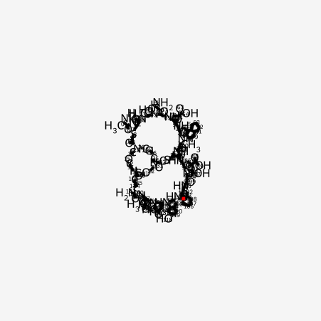 C[C@H](N)C(=O)N[C@H]1CSCC(=O)N2CCOCCN3CCOCCN(CCOCC2)C(=O)CSC[C@H](NC(=O)[C@@H](C)NC(=O)[C@H](Cc2cccc4ccccc24)NC(=O)[C@H](CCC(=O)O)NC(=O)[C@H](CC(N)=O)NC(=O)[C@@H](C)NC1=O)C(=O)N[C@@H](CCC(=O)O)C(=O)N[C@@H](CC(=O)O)C(=O)N[C@@H](Cc1ccccc1)C(=O)N[C@@H](Cc1ccc(O)cc1)C(=O)NC(CC(=O)O)C(=O)N[C@@H](C(C)(C)C)C(=O)N[C@H](C(N)=O)CSCC3=O